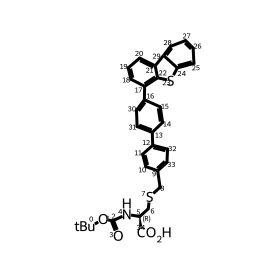 CC(C)(C)OC(=O)N[C@@H](CSCc1ccc(-c2ccc(-c3cccc4c3sc3ccccc34)cc2)cc1)C(=O)O